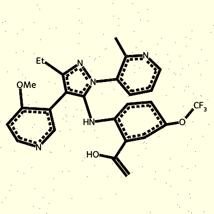 C=C(O)c1cc(OC(F)(F)F)ccc1Nc1c(-c2cnccc2OC)c(CC)nn1-c1cccnc1C